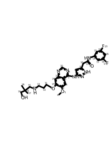 COc1cc2c(Nc3cc(CC(=O)Nc4cc(F)cc(F)c4)[nH]n3)ncnc2cc1OCCCNCC(C)(C)CO